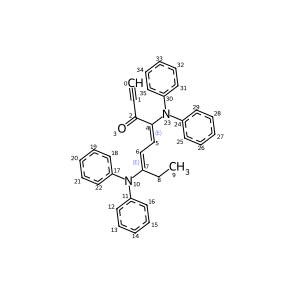 C#CC(=O)/C(=C\C=C(/CC)N(c1ccccc1)c1ccccc1)N(c1ccccc1)c1ccccc1